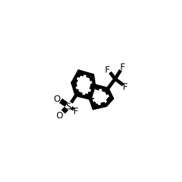 O=S(=O)(F)c1cccc2c(C(F)(F)F)cccc12